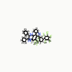 Fc1c(F)c(F)c(-c2cccc(-c3nc4ccccc4c4c3c(C(F)(F)F)cc3nc(-c5ccccc5)c(-c5ccccc5)nc34)c2)c(F)c1F